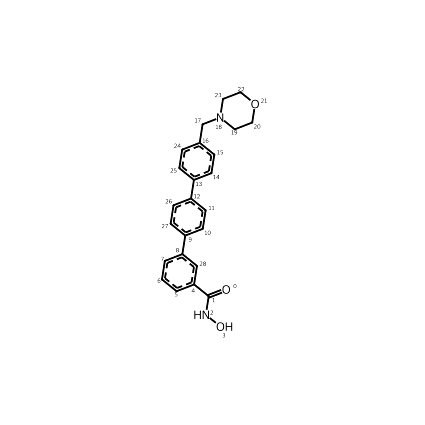 O=C(NO)c1cccc(-c2ccc(-c3ccc(CN4CCOCC4)cc3)cc2)c1